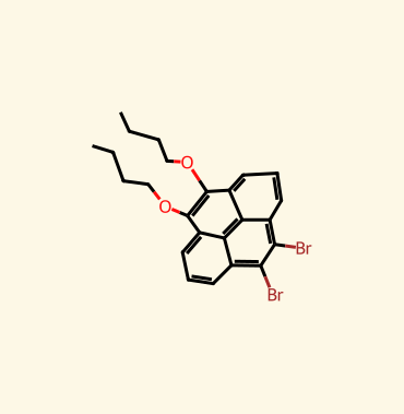 CCCCOc1c(OCCCC)c2cccc3c(Br)c(Br)c4cccc1c4c32